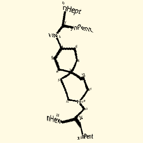 CCCCCCCC(CCCCC)NC1CCC2(CC1)CCN(CC(CCCCC)CCCCCC)CC2